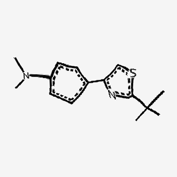 CN(C)c1ccc(-c2csc(C(C)(C)C)n2)cc1